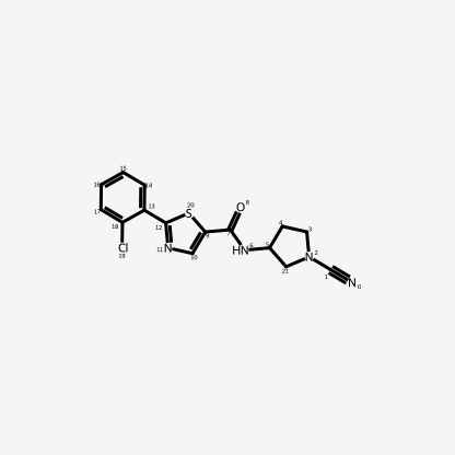 N#CN1CCC(NC(=O)c2cnc(-c3ccccc3Cl)s2)C1